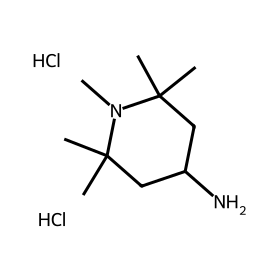 CN1C(C)(C)CC(N)CC1(C)C.Cl.Cl